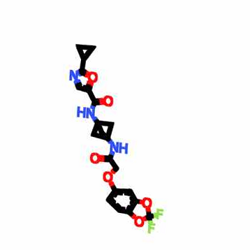 O=C(COc1ccc2c(c1)OC(F)(F)O2)NC12CC(NC(=O)c3cnc(C4CC4)o3)(C1)C2